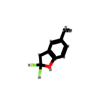 CNc1ccc2c(c1)CC(F)(F)O2